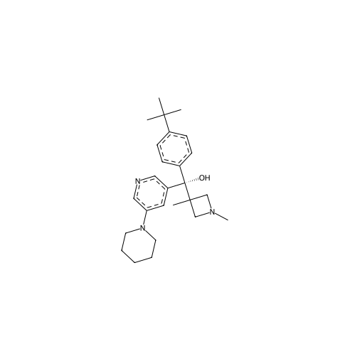 CN1CC(C)([C@](O)(c2ccc(C(C)(C)C)cc2)c2cncc(N3CCCCC3)c2)C1